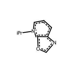 CC(C)[n+]1cccc2ncoc21